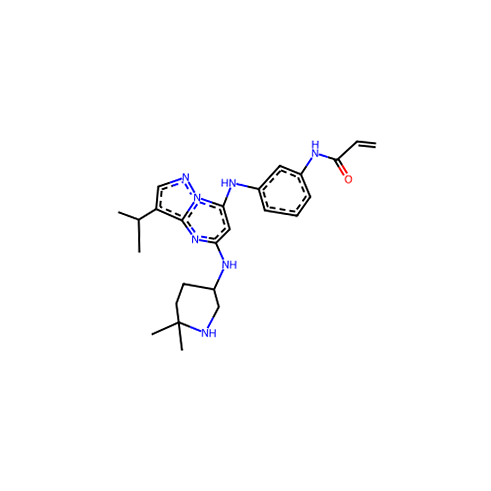 C=CC(=O)Nc1cccc(Nc2cc(NC3CCC(C)(C)NC3)nc3c(C(C)C)cnn23)c1